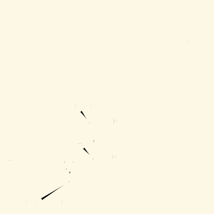 C[C@H]1[C@H]2CC[C@H]3[C@@H]4CC=C5C[C@@H](OC(=O)Cc6cccs6)CC[C@]5(C)[C@H]4CC[C@]23CN1C